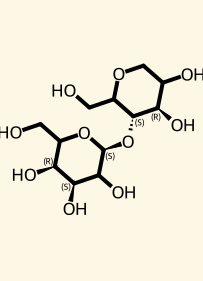 OCC1OCC(O)[C@@H](O)[C@@H]1O[C@@H]1OC(CO)[C@H](O)[C@H](O)C1O